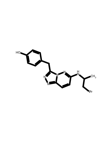 CC(C)CC(C)Nc1ccc2nnc(Cc3ccc(O)cc3)n2n1